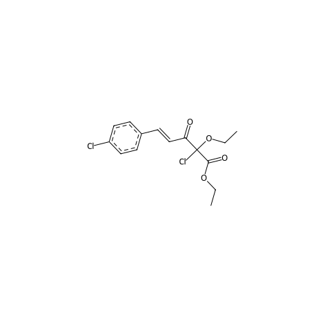 CCOC(=O)C(Cl)(OCC)C(=O)C=Cc1ccc(Cl)cc1